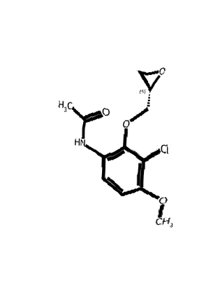 COc1ccc(NC(C)=O)c(OC[C@@H]2CO2)c1Cl